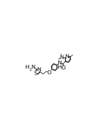 Cc1ccc(C(=O)Nc2ccc(OCCc3csc(N)n3)cc2)c(N(C)C)n1